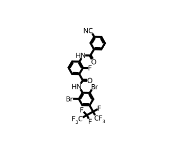 N#Cc1cccc(C(=O)Nc2cccc(C(=O)Nc3c(Br)cc(C(F)(C(F)(F)F)C(F)(F)C(F)(F)F)cc3Br)c2F)c1